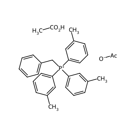 CC(=O)O.CC(=O)[O-].Cc1cccc([P+](Cc2ccccc2)(c2cccc(C)c2)c2cccc(C)c2)c1